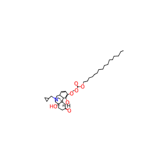 CCCCCCCCCCCCCCCCOC(=O)OCOC1=C2O[C@H]3C(=O)CC[C@@]4(O)C5CC(C=C1)C2[C@@]34CCN5CC1CC1